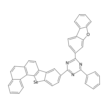 c1ccc(-c2nc(-c3ccc4c(c3)oc3ccccc34)nc(-c3ccc4[se]c5c(ccc6ccc7ccccc7c65)c4c3)n2)cc1